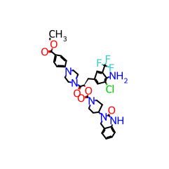 CCOC(=O)c1ccc(N2CCN(C(=O)[C@@H](Cc3cc(Cl)c(N)c(C(F)(F)F)c3)OC(=O)N3CCC(N4Cc5ccccc5NC4=O)CC3)CC2)cc1